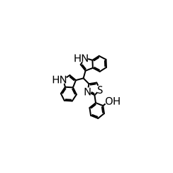 Oc1ccccc1-c1nc(C(c2c[nH]c3ccccc23)c2c[nH]c3ccccc23)cs1